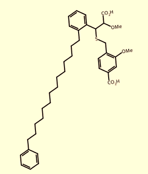 COc1cc(C(=O)O)ccc1CSC(c1ccccc1CCCCCCCCCCCCCCc1ccccc1)C(OC)C(=O)O